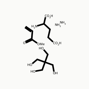 C=CC(=O)OC.N.N.NC(CCC(=O)O)C(=O)O.OCC(CO)(CO)CO